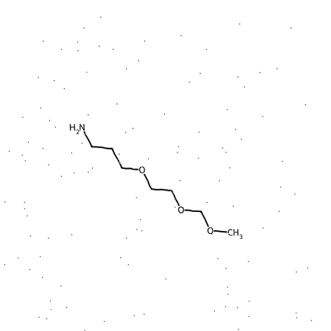 COCOCCOCCCN